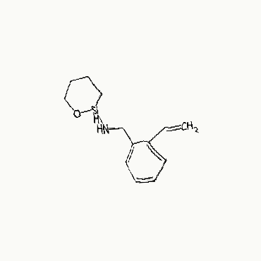 C=Cc1ccccc1CN[SiH]1CCCCO1